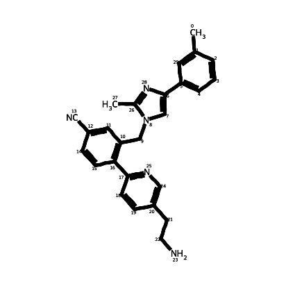 Cc1cccc(-c2cn(Cc3cc(C#N)ccc3-c3ccc(CCN)cn3)c(C)n2)c1